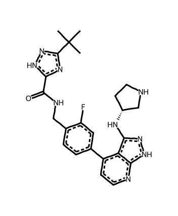 CC(C)(C)c1n[nH]c(C(=O)NCc2ccc(-c3ccnc4[nH]nc(N[C@@H]5CCNC5)c34)cc2F)n1